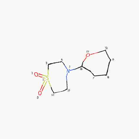 O=S1(=O)CCN(C2CCCCO2)CC1